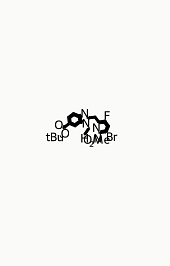 COCCn1c(Cc2nc(N)c(Br)cc2F)nc2ccc(C(=O)OC(C)(C)C)cc21